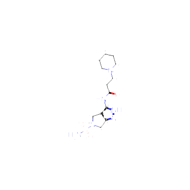 NS(=O)(=O)N1Cc2n[nH]c(NC(=O)CCN3CCCCC3)c2C1